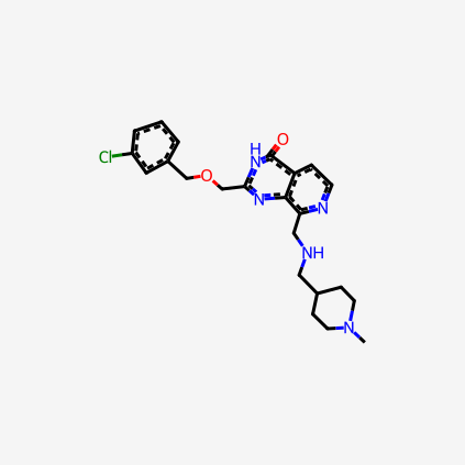 CN1CCC(CNCc2nccc3c(=O)[nH]c(COCc4cccc(Cl)c4)nc23)CC1